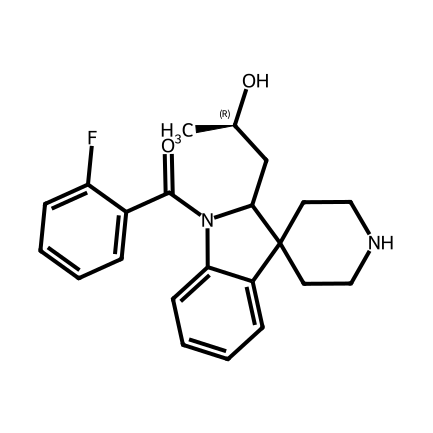 C[C@@H](O)CC1N(C(=O)c2ccccc2F)c2ccccc2C12CCNCC2